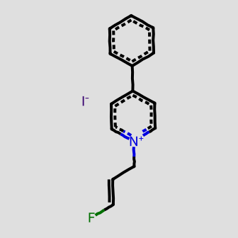 FC=CC[n+]1ccc(-c2ccccc2)cc1.[I-]